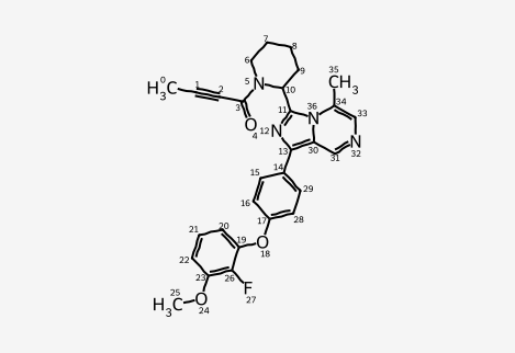 CC#CC(=O)N1CCCCC1c1nc(-c2ccc(Oc3cccc(OC)c3F)cc2)c2cncc(C)n12